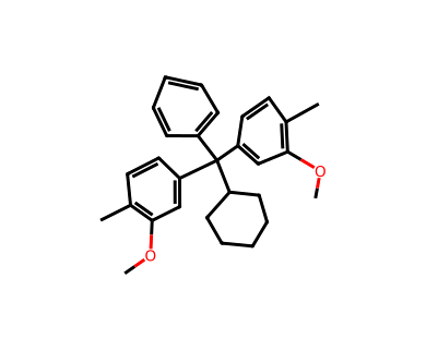 COc1cc(C(c2ccccc2)(c2ccc(C)c(OC)c2)C2CCCCC2)ccc1C